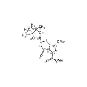 COC(=O)[C@@H]1C[C@@H](OC)C2CC(B3OC(C)(C)C(C)(C)O3)CC(=O)N21